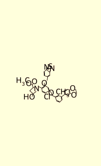 COC(=O)C1CC(O)CN1Cc1cc(Cl)c(OCc2cccc(-c3ccc4c(c3)OCCO4)c2C)cc1OCc1ccc2nsnc2c1